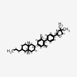 CCCC1CC[C@@H]2C[C@H](c3cc(F)c(-c4ccc(C5=NC(C)(C)CO5)cc4)c(F)c3)CC[C@@H]2C1